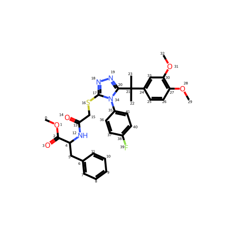 COC(=O)C(Cc1ccccc1)NC(=O)CSc1nnc(C(C)(C)c2ccc(OC)c(OC)c2)n1-c1ccc(F)cc1